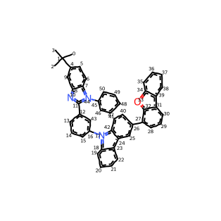 CC(C)(C)c1ccc2c(c1)nc(-c1cccc(-n3c4ccccc4c4cc(-c5cccc6c5oc5ccccc56)ccc43)c1)n2-c1ccccc1